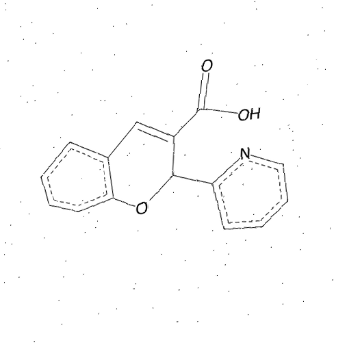 O=C(O)C1=Cc2ccccc2OC1c1ccccn1